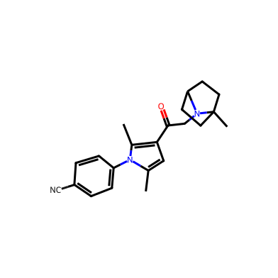 Cc1cc(C(=O)CN2C3CCC2(C)CC3)c(C)n1-c1ccc(C#N)cc1